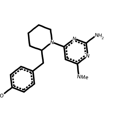 CNc1cc(N2CCCCC2Cc2ccc(OC)cc2)nc(N)n1